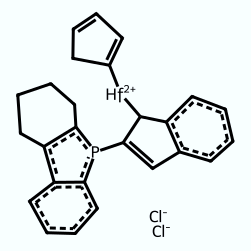 C1=CC[C]([Hf+2][CH]2C(p3c4c(c5ccccc53)CCCC4)=Cc3ccccc32)=C1.[Cl-].[Cl-]